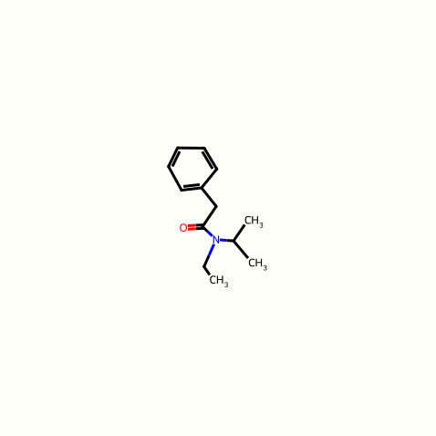 CCN(C(=O)Cc1ccccc1)C(C)C